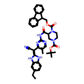 CCc1ccc2c(c1)N/C(=C(\C#N)c1nc(NC(=O)C3CN(C(=O)OC(C)(C)C)CCN3C(=O)OCC3c4ccccc4-c4ccccc43)ncc1C)N2